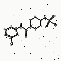 CC(C)S(=O)(=O)NC1CCN(C(=O)Nc2cccc(Cl)c2)CC1